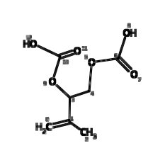 C=C(C)C(COC(=O)O)OC(=O)O